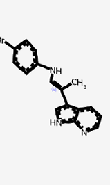 C/C(=C\Nc1ccc(Br)cc1)c1c[nH]c2ncccc12